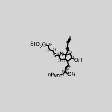 C#CC#CC12CC(O)C(C=C[C@@H](O)CCCCC)C1CC(SCCCC(=O)OCC)=N2